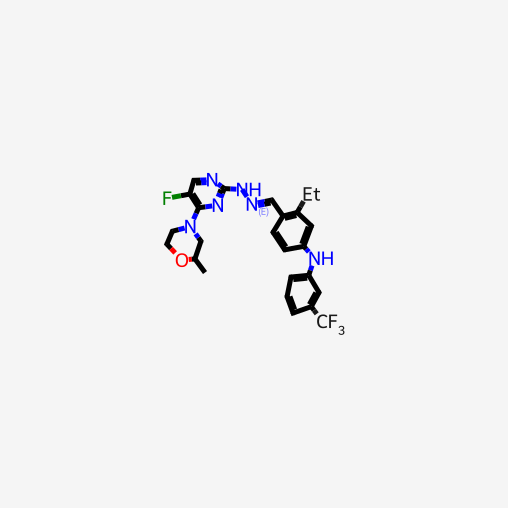 CCc1cc(Nc2cccc(C(F)(F)F)c2)ccc1/C=N/Nc1ncc(F)c(N2CCOC(C)C2)n1